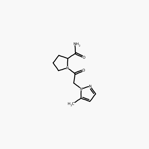 Cc1ccnn1CC(=O)N1CCCC1C(N)=O